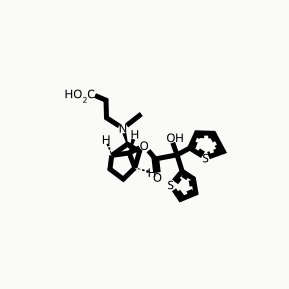 CN(CCC(=O)O)[C@H]1C[C@H]2CC[C@@H]1[C@@H]2OC(=O)C(O)(c1cccs1)c1cccs1